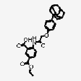 CCOC(=O)c1ccc(NC(=O)COc2ccc(C34CC5CC(CC(C5)C3)C4)cc2)c(C(=O)O)c1